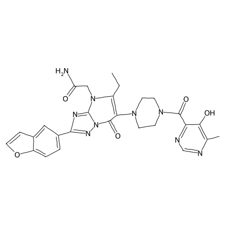 CCc1c(N2CCN(C(=O)c3ncnc(C)c3O)CC2)c(=O)n2nc(-c3ccc4occc4c3)nc2n1CC(N)=O